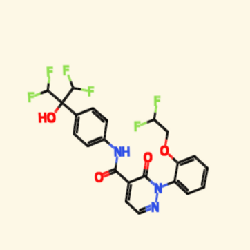 O=C(Nc1ccc(C(O)(C(F)F)C(F)F)cc1)c1ccnn(-c2ccccc2OCC(F)F)c1=O